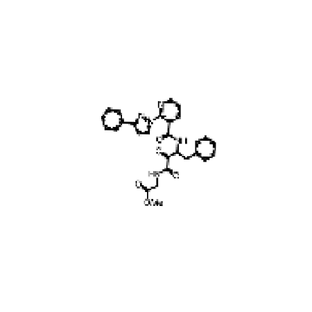 COC(=O)CNC(=O)C(=O)C(Cc1ccccc1)NC(=O)c1cccnc1-n1ccc(-c2ccccc2)n1